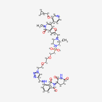 C[C@@H]1CN(S(=O)(=O)CCOCCOCCn2cc(CNc3cccc4c3C(=O)N(C3CCC(=O)NC3=O)C4=O)nn2)CCN1Cc1cc2c(=O)n(C)cc(-c3ccncc3OCC3CC3)c2o1